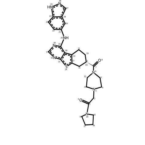 O=C(CN1CCN(C(=O)[C@H]2CCc3c(sc4ncnc(Nc5ccc6[nH]ncc6c5)c34)C2)CC1)N1CCCC1